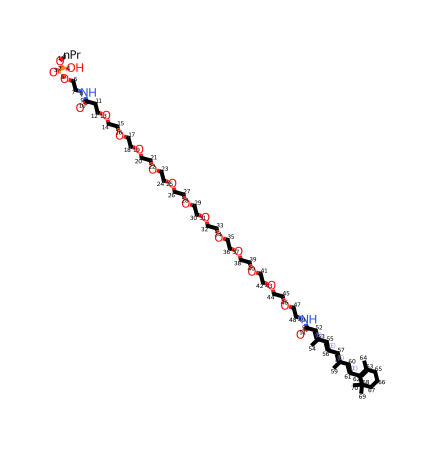 [CH2][CH]COP(=O)(O)OCCNC(=O)CCOCCOCCOCCOCCOCCOCCOCCOCCOCCOCCOCCOCCNC(=O)/C=C(C)/C=C/C=C(C)/C=C/C1=C(C)CCCC1(C)C